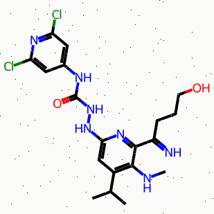 CNc1c(C(C)C)cc(NNC(=O)Nc2cc(Cl)nc(Cl)c2)nc1C(=N)CCCO